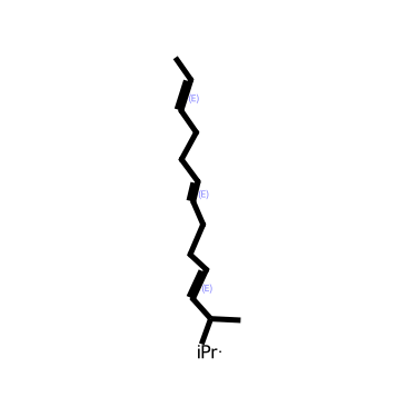 C/C=C/CC/C=C/CC/C=C/C(C)[C](C)C